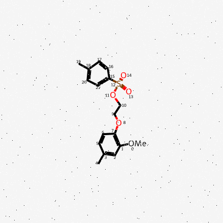 COc1cc(C)ccc1OCCOS(=O)(=O)c1ccc(C)cc1